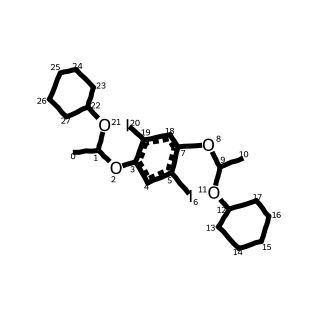 CC(Oc1cc(I)c(OC(C)OC2CCCCC2)cc1I)OC1CCCCC1